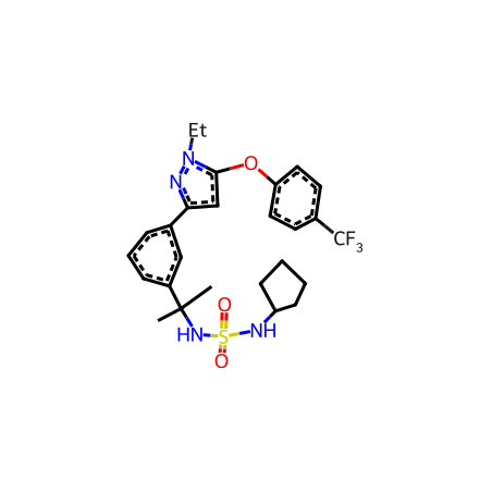 CCn1nc(-c2cccc(C(C)(C)NS(=O)(=O)NC3CCCC3)c2)cc1Oc1ccc(C(F)(F)F)cc1